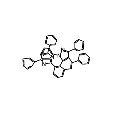 c1ccc(-c2nc(-c3ccccc3)nc(-c3cccc4cc(-c5ccccc5)c5c(-c6ccccc6)nn(-c6ccccc6)c5c34)n2)cc1